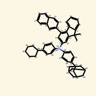 CC1(C)c2ccccc2-c2c(-c3ccc4ccccc4c3)cc(N(c3ccc(C4CCCCC4)cc3)c3ccc(C45CC6CC(CC(C6)C4)C5)cc3)cc21